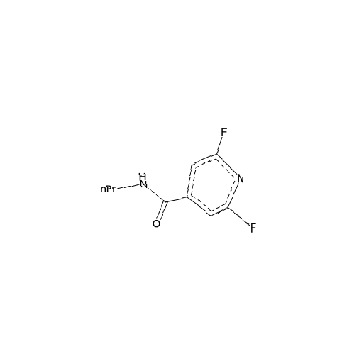 CCCNC(=O)c1cc(F)nc(F)c1